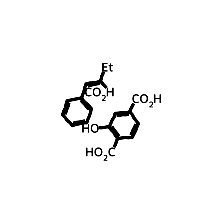 CCC(=Cc1ccccc1)C(=O)O.O=C(O)c1ccc(C(=O)O)c(O)c1